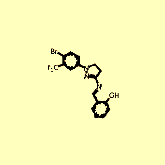 Oc1ccccc1/C=N/C1=NN(c2ccc(Br)c(C(F)(F)F)c2)CC1